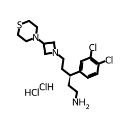 Cl.Cl.NCC[C@@H](CCN1CC(N2CCSCC2)C1)c1ccc(Cl)c(Cl)c1